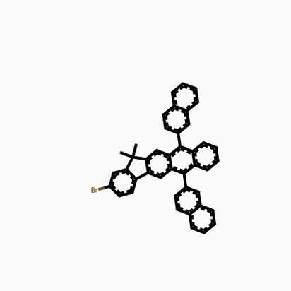 CC1(C)c2cc(Br)ccc2-c2cc3c(-c4ccc5ccccc5c4)c4ccccc4c(-c4ccc5ccccc5c4)c3cc21